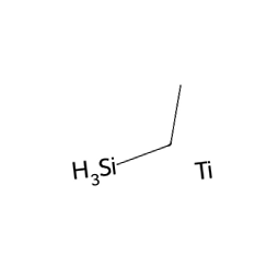 CC[SiH3].[Ti]